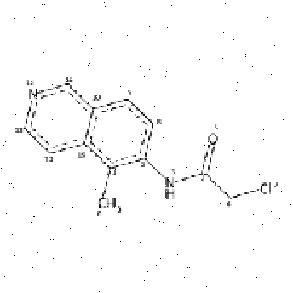 Cc1c(NC(=O)CCl)ccc2cnccc12